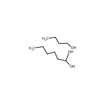 CCCCCC(O)O.CCCCO